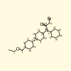 CCOC[C@H]1CC[C@@H](N2CCC(N(C(=O)CBr)C3CCCCC3)CC2)CC1